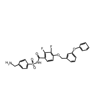 NCc1ccc(S(=O)(=O)NC(=O)c2ccc(OCc3cccc(Oc4ccccc4)c3)c(F)c2F)cc1